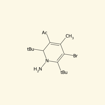 CC(=O)C1=C(C)C(Br)=C(C(C)(C)C)N(N)C1C(C)(C)C